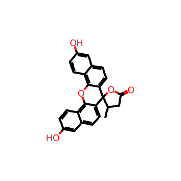 CC1CC(=O)OC12c1ccc3cc(O)ccc3c1Oc1c2ccc2cc(O)ccc12